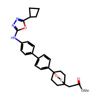 COC(=O)CC12CCC(c3ccc(-c4ccc(Nc5nnc(C6CCC6)o5)cc4)cc3)(CC1)OC2